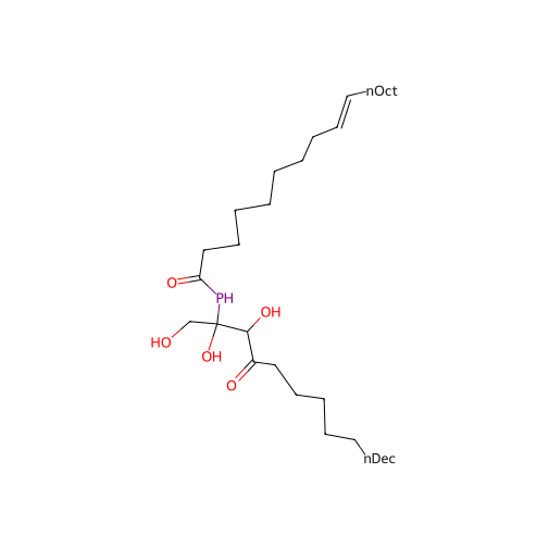 CCCCCCCCC=CCCCCCCCC(=O)PC(O)(CO)C(O)C(=O)CCCCCCCCCCCCCCC